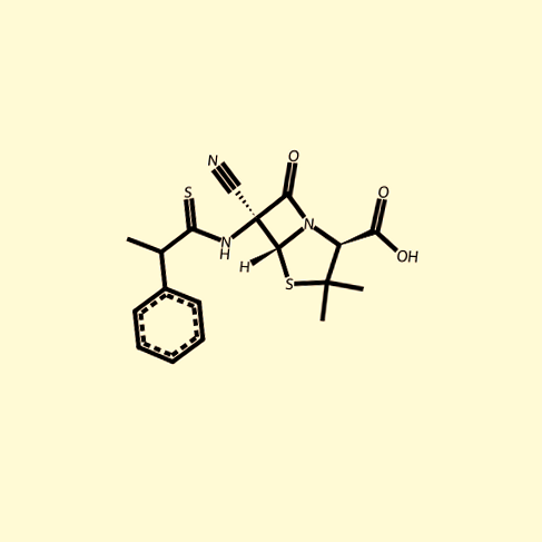 CC(C(=S)N[C@@]1(C#N)C(=O)N2[C@@H](C(=O)O)C(C)(C)S[C@@H]21)c1ccccc1